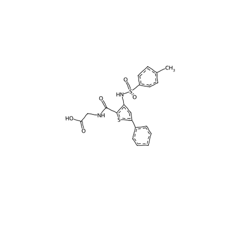 Cc1ccc(S(=O)(=O)Nc2cc(-c3ccccc3)sc2C(=O)NCC(=O)O)cc1